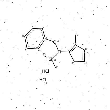 CC1=[C]([Ti]([O]c2ccccc2)[SiH](C)C)CC=C1.Cl.Cl